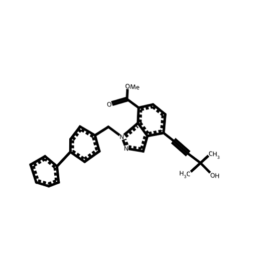 COC(=O)c1ccc(C#CC(C)(C)O)c2cnn(Cc3ccc(-c4ccccc4)cc3)c12